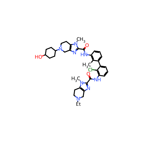 CCN1CCc2c(nc(C(=O)Nc3cccc(-c4cccc(NC(=O)c5nc6c(n5C)CCN(C5CCC(O)CC5)C6)c4C)c3Cl)n2C)C1